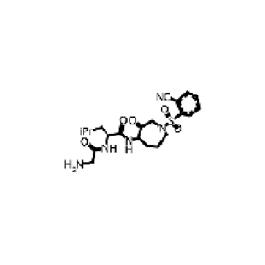 CC(C)C[C@H](NC(=O)CN)C(=O)NC1CCCN(S(=O)(=O)c2ccccc2C#N)CC1=O